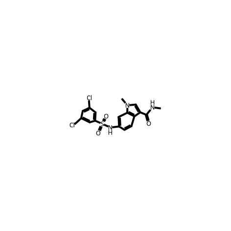 CNC(=O)c1cn(C)c2cc(NS(=O)(=O)c3cc(Cl)cc(Cl)c3)ccc12